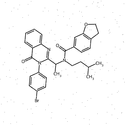 CC(C)CCN(C(=O)c1ccc2c(c1)OCC2)C(C)c1nc2ccccc2c(=O)n1-c1ccc(Br)cc1